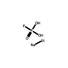 C[CH2][Na].O=P(O)(O)F